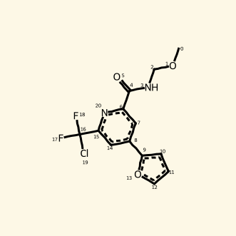 COCNC(=O)c1cc(-c2ccco2)cc(C(F)(F)Cl)n1